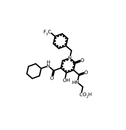 O=C(O)CNC(=O)c1c(O)c(C(=O)NC2CCCCC2)cn(Cc2ccc(C(F)(F)F)cc2)c1=O